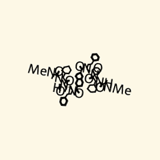 CN[C@@H](C)C(=O)N[C@H](C(=O)N1CCOC[C@H]1CN(CCc1ccccc1)C(=O)c1ccc2cc(C(=O)N(CCc3ccccc3)C[C@@H]3COCCN3C(=O)[C@@H](NC(=O)[C@H](C)NC)C3CCCCC3)ccc2c1)C1CCCCC1